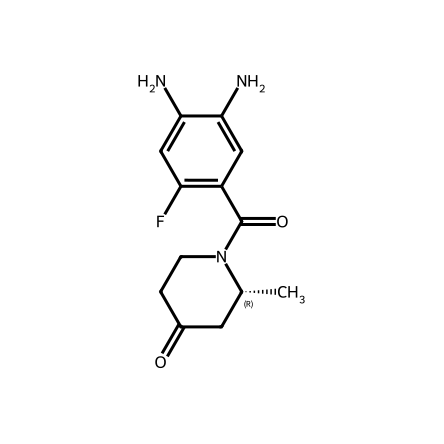 C[C@@H]1CC(=O)CCN1C(=O)c1cc(N)c(N)cc1F